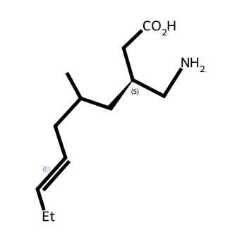 CC/C=C/CC(C)C[C@H](CN)CC(=O)O